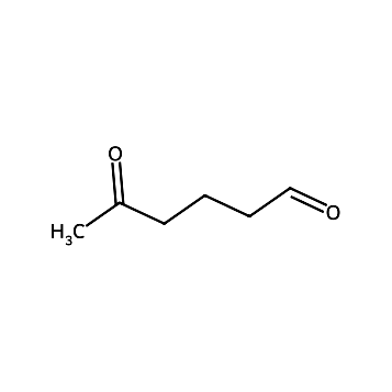 CC(=O)CCCC=O